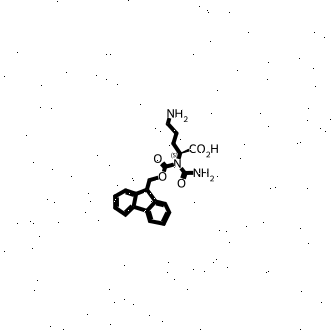 NCCC[C@@H](C(=O)O)N(C(N)=O)C(=O)OCC1c2ccccc2-c2ccccc21